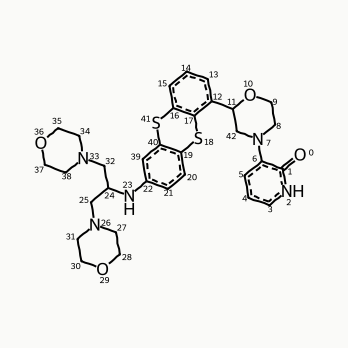 O=c1[nH]cccc1N1CCOC(c2cccc3c2Sc2ccc(NC(CN4CCOCC4)CN4CCOCC4)cc2S3)C1